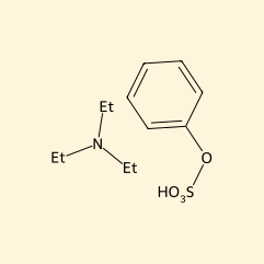 CCN(CC)CC.O=S(=O)(O)Oc1ccccc1